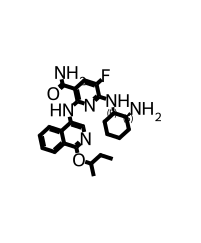 CCC(C)Oc1ncc(Nc2nc(N[C@@H]3CCCC[C@@H]3N)c(F)cc2C(N)=O)c2ccccc12